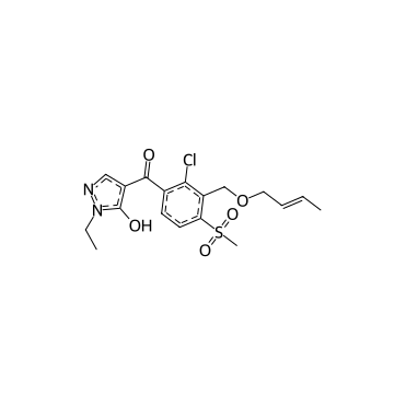 C/C=C/COCc1c(S(C)(=O)=O)ccc(C(=O)c2cnn(CC)c2O)c1Cl